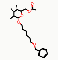 CC(=O)OCC1O[C@@H](OCCCCCCOCc2ccccc2)C(C)[C@@H](C)[C@H]1C